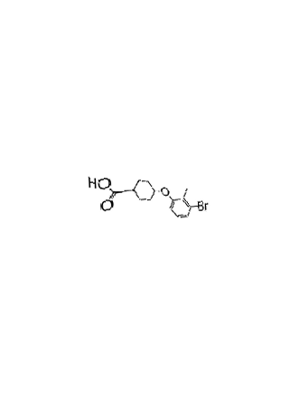 Cc1c(Br)cccc1O[C@H]1CC[C@H](C(=O)O)CC1